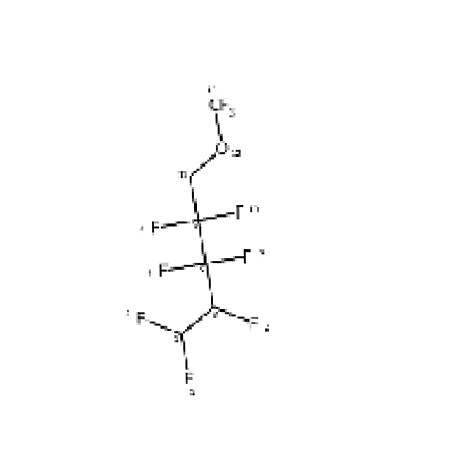 FC(F)C(F)C(F)(F)C(F)(F)COC(F)(F)F